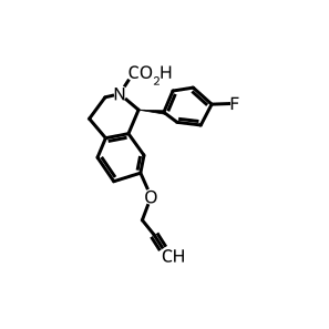 C#CCOc1ccc2c(c1)[C@H](c1ccc(F)cc1)N(C(=O)O)CC2